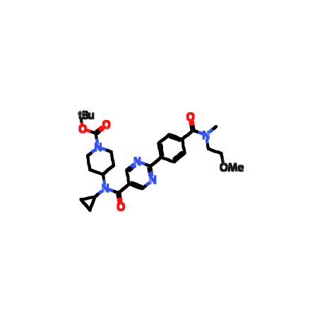 COCCN(C)C(=O)c1ccc(-c2ncc(C(=O)N(C3CC3)C3CCN(C(=O)OC(C)(C)C)CC3)cn2)cc1